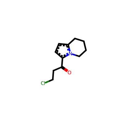 O=C(CCCl)c1ccc2n1CCCC2